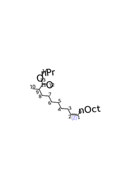 CCCCCCCC/C=C\CCCCCCC(C)C(=O)OCCC